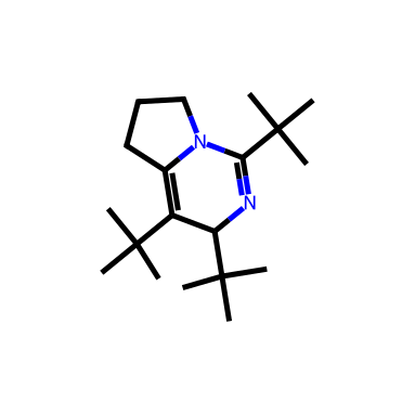 CC(C)(C)C1=NC(C(C)(C)C)C(C(C)(C)C)=C2CCCN12